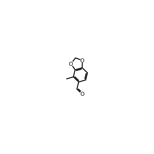 Cc1c(C=O)ccc2c1OCO2